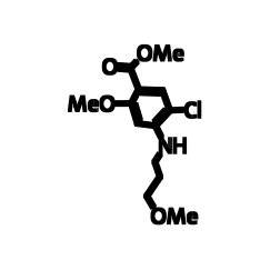 COCCCNc1cc(OC)c(C(=O)OC)cc1Cl